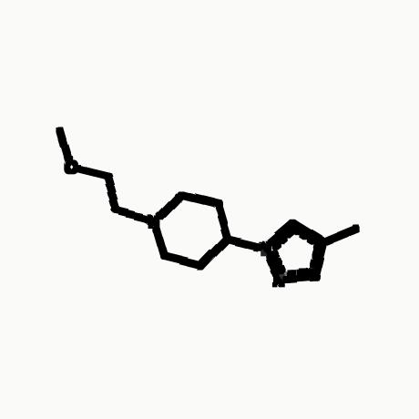 COCCN1CCC(n2cc(C)cn2)CC1